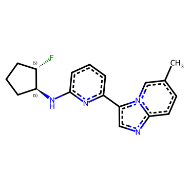 Cc1ccc2ncc(-c3cccc(N[C@H]4CCC[C@@H]4F)n3)n2c1